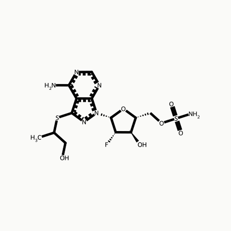 CC(CO)Sc1nn([C@@H]2O[C@H](COS(N)(=O)=O)[C@@H](O)[C@@H]2F)c2ncnc(N)c12